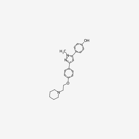 Cn1nc(-c2ccc(OCCN3CCCCC3)cc2)cc1-c1ccc(O)cc1